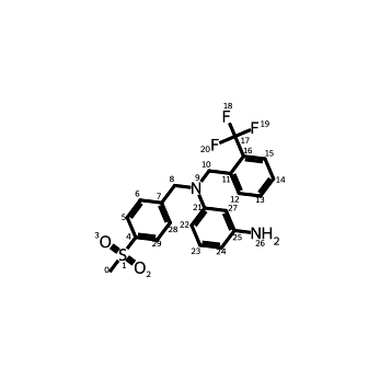 CS(=O)(=O)c1ccc(CN(Cc2ccccc2C(F)(F)F)c2cccc(N)c2)cc1